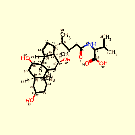 CC(C)C(NC(=O)CCC(C)[C@H]1CC[C@H]2[C@@H]3[C@H](O)C[C@@H]4C[C@H](O)CC[C@]4(C)[C@H]3C[C@H](O)[C@]12C)C(=O)O